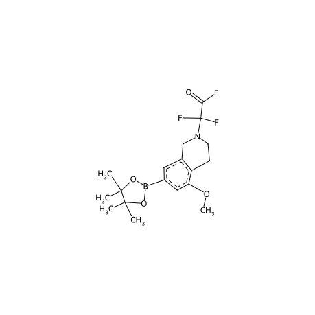 COc1cc(B2OC(C)(C)C(C)(C)O2)cc2c1CCN(C(F)(F)C(=O)F)C2